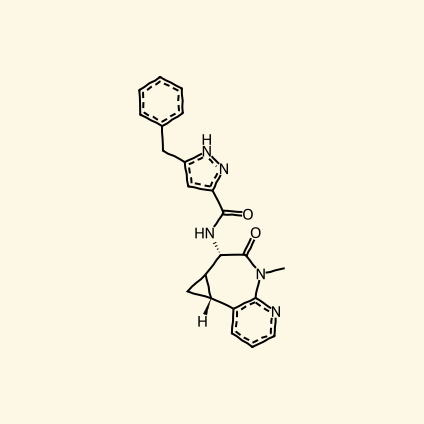 CN1C(=O)[C@@H](NC(=O)c2cc(Cc3ccccc3)[nH]n2)C2C[C@H]2c2cccnc21